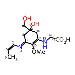 C/C=C\N=C1/CC(O)(CO)CC(NCC(=O)O)=C1OC